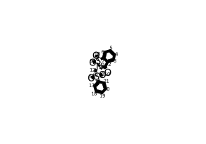 O=C1c2ccccc2S(=O)(=O)N1CS(=O)(=O)c1ccccc1